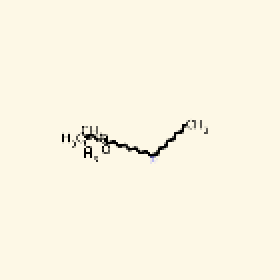 CCCCCCCC/C=C\CCCCCCCC(=O)OCCC(C)(C)C